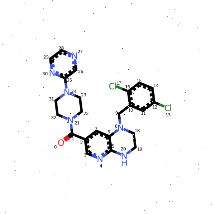 O=C(c1cnc2c(c1)N(Cc1cc(Cl)ccc1Cl)CCN2)N1CCN(c2cnccn2)CC1